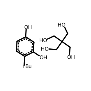 CCCCc1ccc(O)cc1O.OCC(CO)(CO)CO